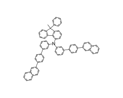 CC1(c2ccccc2)c2ccccc2-c2c(N(c3cccc(-c4ccc(-c5ccc6ccccc6c5)cc4)c3)c3cccc(-c4ccc(-c5ccc6ccccc6c5)cc4)c3)cccc21